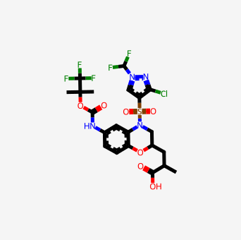 CC(CC1CN(S(=O)(=O)c2cn(C(F)F)nc2Cl)c2cc(NC(=O)OC(C)(C)C(F)(F)F)ccc2O1)C(=O)O